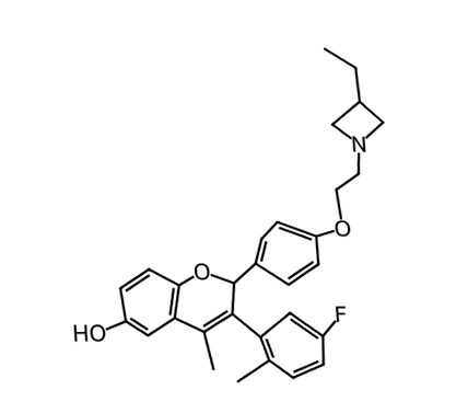 CCC1CN(CCOc2ccc(C3Oc4ccc(O)cc4C(C)=C3c3cc(F)ccc3C)cc2)C1